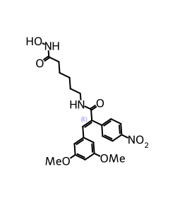 COc1cc(/C=C(/C(=O)NCCCCCC(=O)NO)c2ccc([N+](=O)[O-])cc2)cc(OC)c1